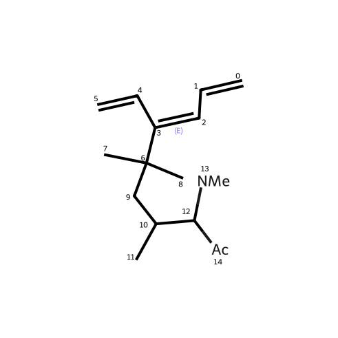 C=C/C=C(\C=C)C(C)(C)CC(C)C(NC)C(C)=O